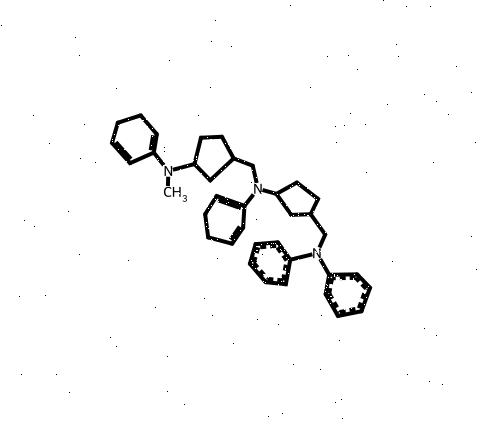 CN(C1=CCCC=C1)C1CCC(CN(C2=CCCC=C2)C2CCC(CN(c3ccccc3)c3ccccc3)C2)C1